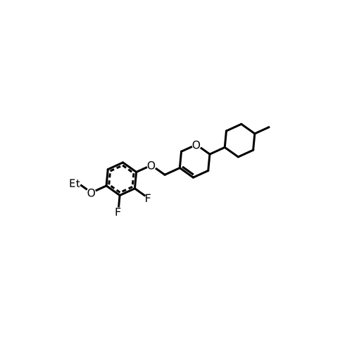 CCOc1ccc(OCC2=CCC(C3CCC(C)CC3)OC2)c(F)c1F